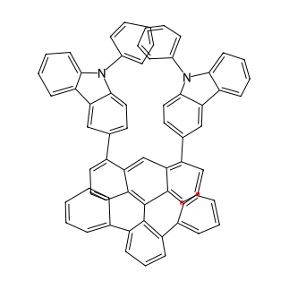 c1ccc(-c2cccc(-c3ccccc3)c2-c2c3cccc(-c4ccc5c(c4)c4ccccc4n5-c4ccccc4)c3cc3c(-c4ccc5c(c4)c4ccccc4n5-c4ccccc4)cccc23)cc1